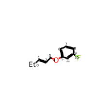 CCC=CCOc1cc[c]c(F)c1